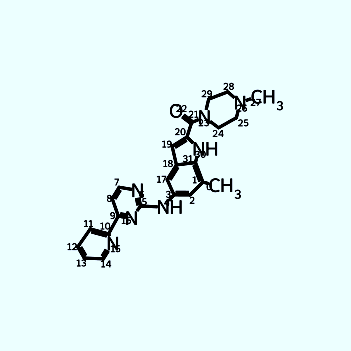 Cc1cc(Nc2nccc(-c3ccccn3)n2)cc2cc(C(=O)N3CCN(C)CC3)[nH]c12